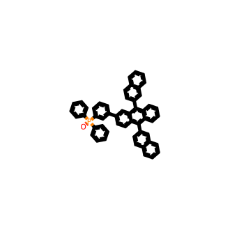 O=P(c1ccccc1)(c1ccccc1)c1cccc(-c2ccc3c(-c4ccc5ccccc5c4)c4ccccc4c(-c4ccc5ccccc5c4)c3c2)c1